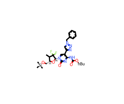 CCCCOC(=O)Nc1nc(=O)n([C@@H]2O[C@H](CO[Si](C)(C)C)C(C)C2(F)F)cc1-c1cn(Cc2ccccc2)nn1